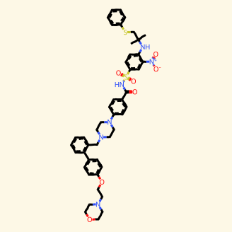 CC(C)(CSc1ccccc1)Nc1ccc(S(=O)(=O)NC(=O)c2ccc(N3CCN(Cc4ccccc4-c4ccc(OCCN5CCOCC5)cc4)CC3)cc2)cc1[N+](=O)[O-]